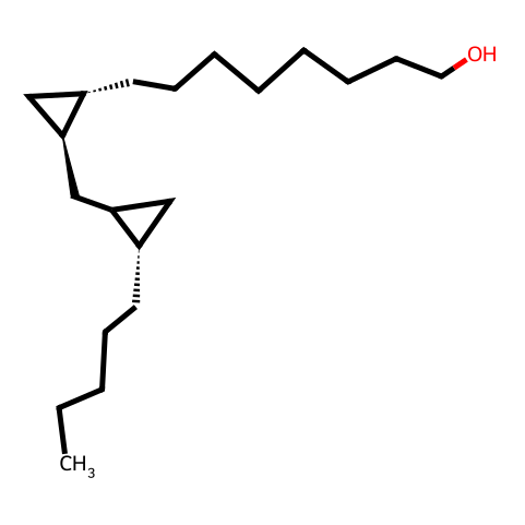 CCCCC[C@H]1CC1C[C@H]1C[C@@H]1CCCCCCCCO